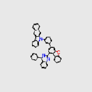 c1ccc(-c2nc(-c3cc(-c4cccc(-n5c6ccccc6c6cc7ccccc7cc65)c4)cc4oc5ccccc5c34)nc3ccccc23)cc1